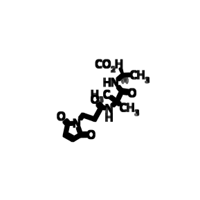 C[C@@H](NC(=O)C(C)(C)NC(=O)CCN1C(=O)C=CC1=O)C(=O)O